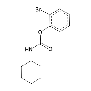 O=C(NC1CCCCC1)Oc1ccccc1Br